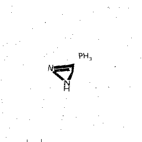 C1=NN1.P